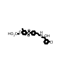 Cc1cc(S(=O)(=O)c2ccc(CCNC[C@H](O)c3cccc(Cl)c3)cc2)ccc1OCC(=O)O